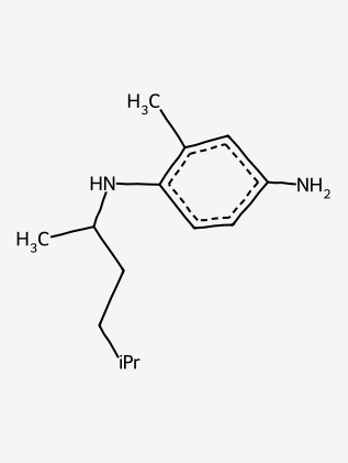 Cc1cc(N)ccc1NC(C)CCC(C)C